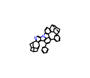 c1ccc(-c2cc(-c3ccccc3)c3c4c5c(ncc4n4c6ccc7c(c6c2c34)C2CC3CC(CC7C3)C2)C2CC3CC4CC5CC34C2)cc1